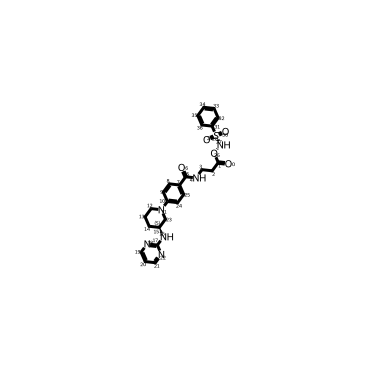 O=C(CCNC(=O)c1ccc(N2CCC[C@H](Nc3ncccn3)C2)cc1)ONS(=O)(=O)c1ccccc1